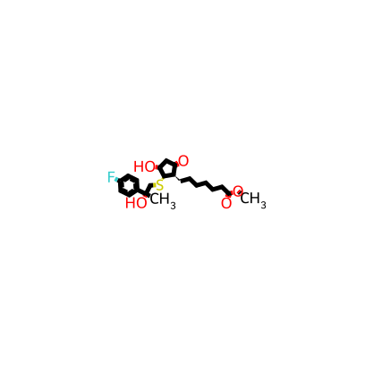 COC(=O)CCCCCC[C@H]1C(=O)CC(O)[C@@H]1SCC(C)(O)c1ccc(F)cc1